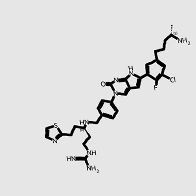 C[C@H](N)CCCc1cc(Cl)c(F)c(-c2cc3cn(-c4ccc(CN[C@@H](CCNC(=N)N)CCc5nccs5)cc4)c(=O)nc3[nH]2)c1